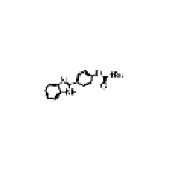 CC(C)(C)C(=O)Oc1ccc(-c2nc3ccccc3[nH]2)cc1